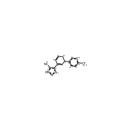 N#Cc1[nH]nnc1C1=CC(c2ccc(C(F)(F)F)nc2)CC=C1